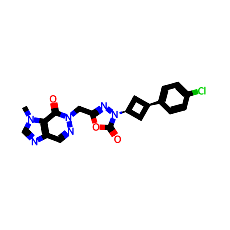 Cn1cnc2cnn(Cc3nn([C@H]4C[C@H](c5ccc(Cl)cc5)C4)c(=O)o3)c(=O)c21